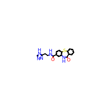 O=C(NCCc1nnc[nH]1)c1ccc2c(c1)NC(=O)c1ccccc1S2